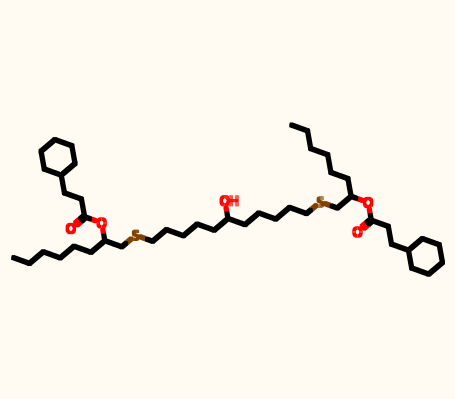 CCCCCCC(CSCCCCCC(O)CCCCCSCC(CCCCCC)OC(=O)CCC1CCCCC1)OC(=O)CCC1CCCCC1